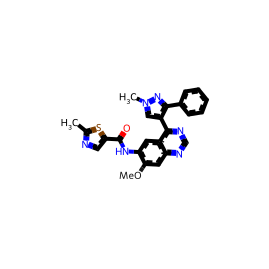 COc1cc2ncnc(-c3cn(C)nc3-c3ccccc3)c2cc1NC(=O)c1cnc(C)s1